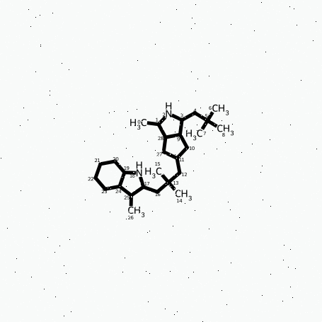 CC1NC(CC(C)(C)C)C2CC(CC(C)(C)CC3NC4CCCCC4C3C)CC12